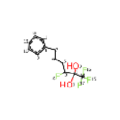 OC(O)(C(F)CCCc1ccccc1)C(F)(F)F